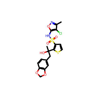 Cc1noc(NS(=O)(=O)c2ccsc2C(C)(O)Cc2ccc3c(c2)OCO3)c1Cl